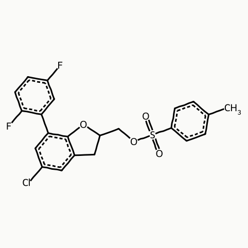 Cc1ccc(S(=O)(=O)OCC2Cc3cc(Cl)cc(-c4cc(F)ccc4F)c3O2)cc1